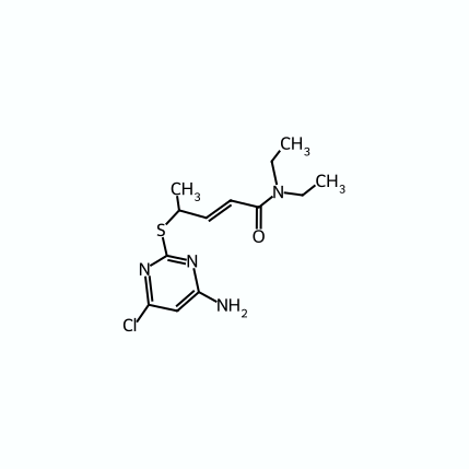 CCN(CC)C(=O)C=CC(C)Sc1nc(N)cc(Cl)n1